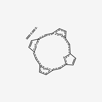 C1=Cc2cc3ccc(cc4nc(cc5ccc(cc1n2)[nH]5)C=C4)[nH]3.C=[N+]=[N-]